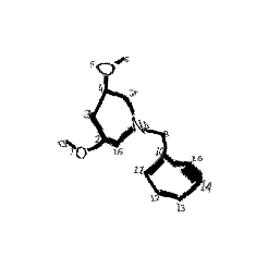 COC1CC(OC)CN(Cc2ccccc2)C1